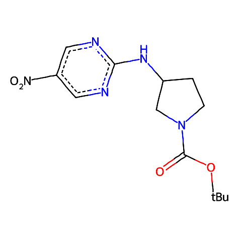 CC(C)(C)OC(=O)N1CCC(Nc2ncc([N+](=O)[O-])cn2)C1